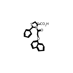 O=C(O)[C@@H]1CSC(c2ccccc2)N1C(=O)COc1cccc2ccccc12